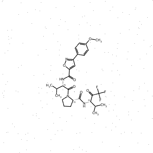 COc1ccc(-c2cc(C(=O)N[C@H](C(=O)N3CCC[C@H]3C(=O)N[C@H](C(=O)C(F)(F)F)C(C)C)C(C)C)on2)cc1